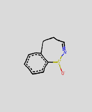 [O-][S+]1N=CCCc2ccccc21